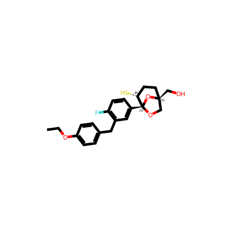 CCOc1ccc(Cc2cc([C@@]34OC[C@@](CO)(CC[C@H]3S)O4)ccc2F)cc1